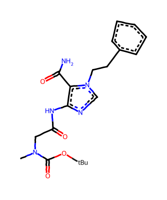 CN(CC(=O)Nc1ncn(CCc2ccccc2)c1C(N)=O)C(=O)OC(C)(C)C